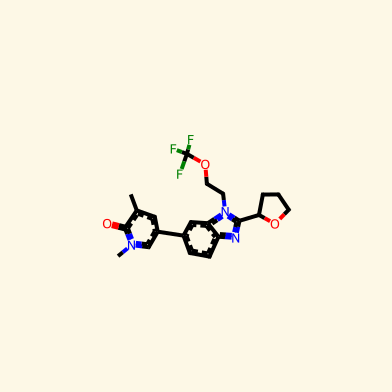 Cc1cc(-c2ccc3nc(C4CCCO4)n(CCOC(F)(F)F)c3c2)cn(C)c1=O